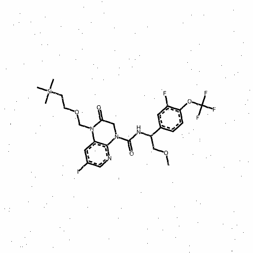 COCC(NC(=O)N1CC(=O)N(COCC[Si](C)(C)C)c2cc(I)cnc21)c1ccc(OC(F)(F)F)c(F)c1